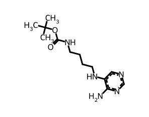 CC(C)(C)OC(=O)NCCCCNc1cncnc1N